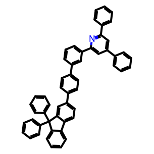 c1ccc(-c2cc(-c3ccccc3)nc(-c3cccc(-c4ccc(-c5ccc6c(c5)C(c5ccccc5)(c5ccccc5)c5ccccc5-6)cc4)c3)c2)cc1